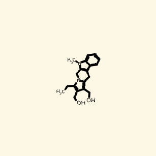 CCc1c(CO)c(CO)c2n1Cc1c(c3ccccc3n1C)C2